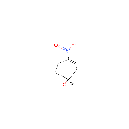 O=[N+]([O-])C1=C=CC2(CC1)CO2